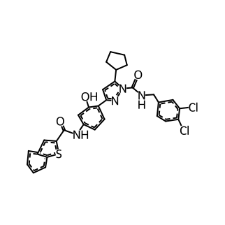 O=C(Nc1ccc(-c2cc(C3CCCC3)n(C(=O)NCc3ccc(Cl)c(Cl)c3)n2)c(O)c1)c1cc2ccccc2s1